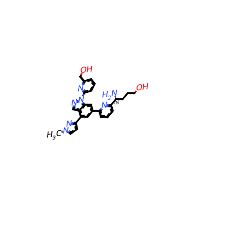 Cn1ccc(-c2cc(-c3cccc([C@@H](N)CCCO)n3)cc3c2cnn3-c2cccc(CO)n2)n1